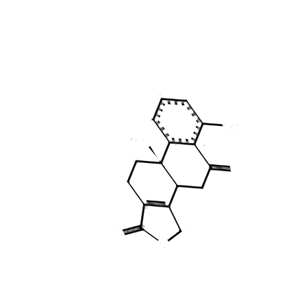 C[C@]12CCC3=C(COC3=O)C1CC(=O)c1c(O)cccc12